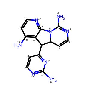 NC1=NC=CC2C(c3ccnc(N)n3)c3c(N)ccnc3N12